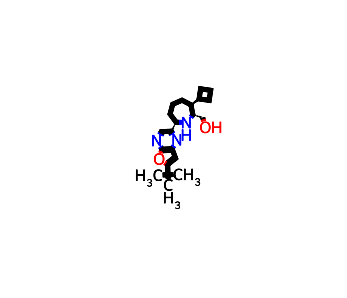 CC(C)(C)c1cc2nc([C@@H]3CCC[C@@H](C4CCC4)[C@H](CO)N3)cnc2o1